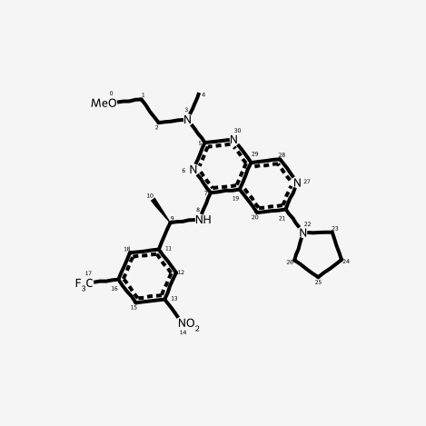 COCCN(C)c1nc(N[C@H](C)c2cc([N+](=O)[O-])cc(C(F)(F)F)c2)c2cc(N3CCCC3)ncc2n1